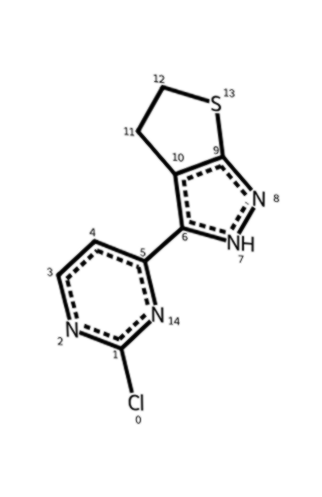 Clc1nccc(-c2[nH]nc3c2CCS3)n1